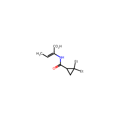 CC=C(NC(=O)C1CC1(CC)CC)C(=O)O